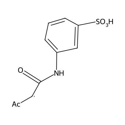 CC(=O)[CH]C(=O)Nc1cccc(S(=O)(=O)O)c1